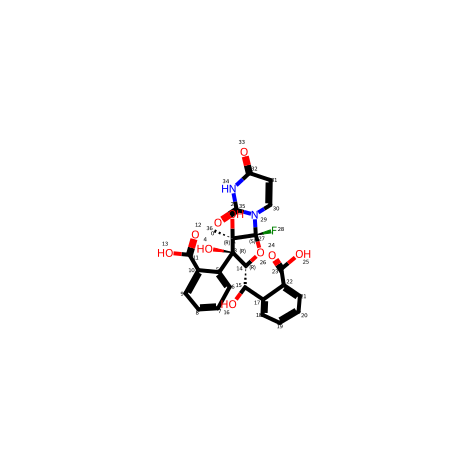 C[C@@]1(O)[C@@](O)(c2ccccc2C(=O)O)[C@@H](C(O)c2ccccc2C(=O)O)O[C@@]1(F)n1ccc(=O)[nH]c1=O